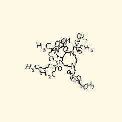 CCOP(C)(=O)CN1CCN(CP(C)(=O)OCC)CC(CN(C(=O)O)C(C)(C)C)N(CP(C)(=O)OCC)CC1